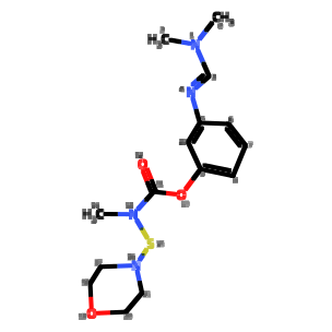 CN(C)C=Nc1cccc(OC(=O)N(C)SN2CCOCC2)c1